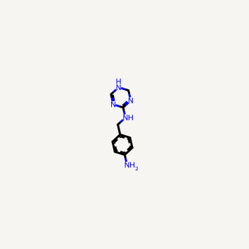 Nc1ccc(CNC2=NCNC=N2)cc1